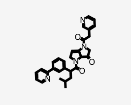 CC(C)CC(C(=O)N1CC=C2C1C(=O)CN2C(=O)Cc1cccnc1)c1cccc(-c2ccccn2)c1